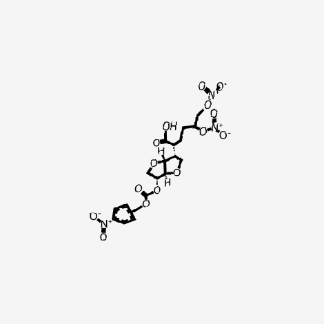 O=C(Oc1ccc([N+](=O)[O-])cc1)O[C@@H]1CO[C@H]2[C@H]1OC[C@H]2C(CCC(CO[N+](=O)[O-])O[N+](=O)[O-])C(=O)O